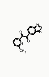 Cc1cccc(C(=O)C(=O)c2ccc3nsnc3c2)n1